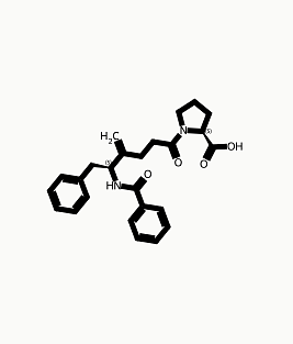 C=C(CCC(=O)N1CCC[C@H]1C(=O)O)[C@H](Cc1ccccc1)NC(=O)c1ccccc1